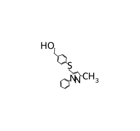 Cc1cc(CSc2ccc(CCO)cc2)n(-c2ccccc2)n1